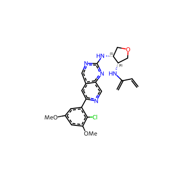 C=CC(=C)N[C@H]1COC[C@H]1Nc1ncc2cc(-c3cc(OC)cc(OC)c3Cl)ncc2n1